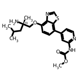 COC(=O)Nc1cc(-c2ccc(OC[C@@](C)(N)CC(C)C)c3ncsc23)ccn1